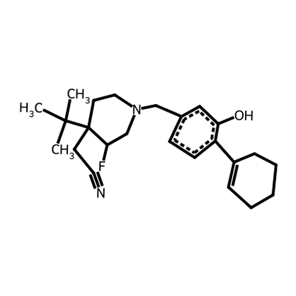 CC(C)(C)C1(CC#N)CCN(Cc2ccc(C3=CCCCC3)c(O)c2)CC1F